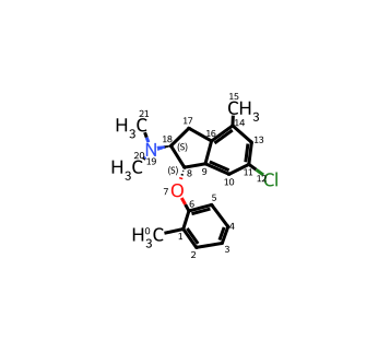 Cc1ccccc1O[C@H]1c2cc(Cl)cc(C)c2C[C@@H]1N(C)C